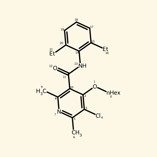 CCCCCCOc1c(Cl)c(C)nc(C)c1C(=O)Nc1c(CC)cccc1CC